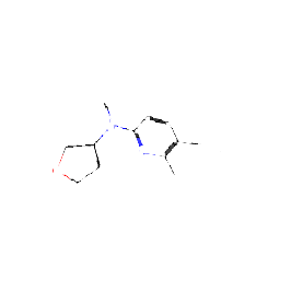 Cc1nc(N(C)C2CCOC2)ccc1C(=O)O